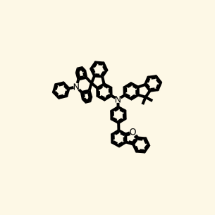 CC1(C)c2ccccc2-c2ccc(N(c3ccc(-c4cccc5c4oc4ccccc45)cc3)c3ccc4c(c3)-c3ccccc3C43c4ccccc4N(c4ccccc4)c4ccccc43)cc21